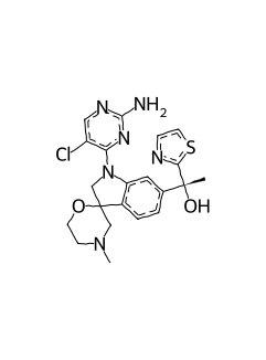 CN1CCOC2(C1)CN(c1nc(N)ncc1Cl)c1cc([C@@](C)(O)c3nccs3)ccc12